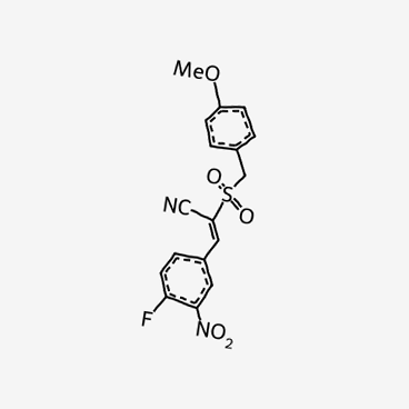 COc1ccc(CS(=O)(=O)C(C#N)=Cc2ccc(F)c([N+](=O)[O-])c2)cc1